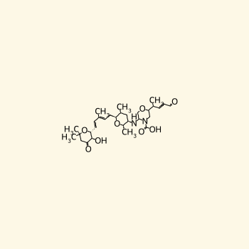 CC(C=C[C@H]1OC(C)(C)CC(=O)[C@@H]1O)=CC[C@@H]1O[C@H](C)[C@H](NC2COC(C(C)C=CC=O)CN2C(=O)O)C[C@@H]1C